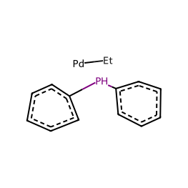 C[CH2][Pd].c1ccc(Pc2ccccc2)cc1